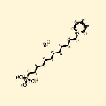 O=P(O)(O)CCCCCCCCCCCC[n+]1ccccc1.[Br-]